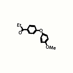 CCC(=O)c1ccc(Oc2ccc(OC)cc2)cc1